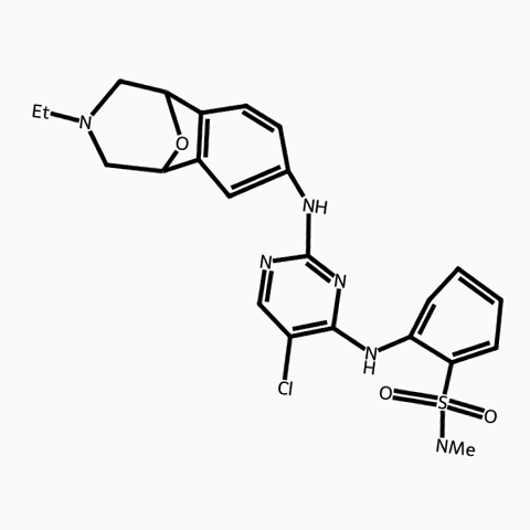 CCN1CC2OC(C1)c1cc(Nc3ncc(Cl)c(Nc4ccccc4S(=O)(=O)NC)n3)ccc12